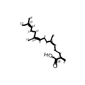 C=C(CCC=C(C)CCC=C(C)CCC=C(C)C)C(=O)O